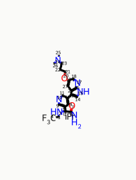 CC(C)[C@](NCC(F)(F)F)(C(N)=O)c1cncc(-c2c[nH]c3ncc(OCCCN(C)C)cc23)c1